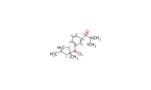 CCCC(C)(CC)C(=O)c1cccc(C(=O)C(C)C)c1